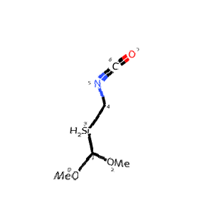 COC(OC)[SiH2]CN=C=O